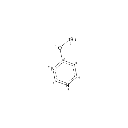 CC(C)(C)Oc1ccncn1